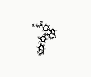 Cc1cc(Nc2ncnn3ccc(N4CCN(C(=O)OC(C)(C)C)CC4)c23)ccc1Oc1ccn2ncnc2c1